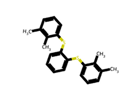 Cc1cccc(Sc2ccccc2Sc2cccc(C)c2C)c1C